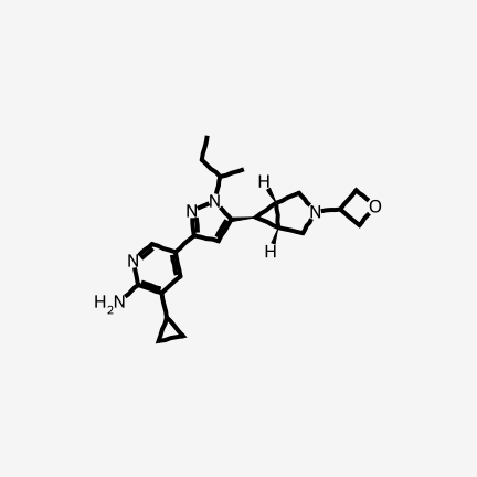 CCC(C)n1nc(-c2cnc(N)c(C3CC3)c2)cc1[C@H]1[C@@H]2CN(C3COC3)C[C@@H]21